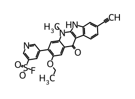 C#Cc1ccc2c(c1)[nH]c1c2c(=O)c2cc(OCC)c(-c3cncc(S(=O)(=O)F)c3)cc2n1C